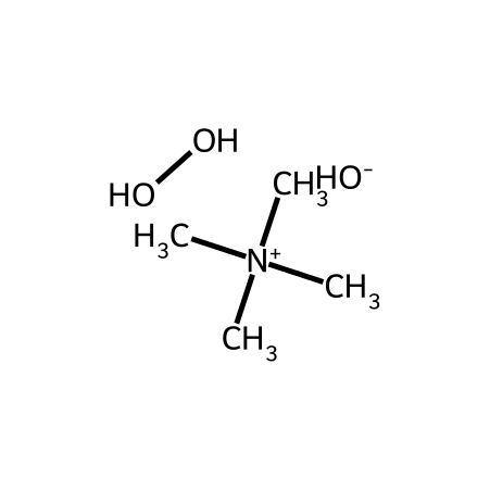 C[N+](C)(C)C.OO.[OH-]